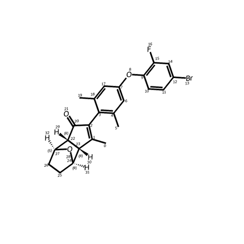 CC1=C(c2c(C)cc(Oc3ccc(Br)cc3F)cc2C)C(=O)[C@@H]2[C@H]1[C@H]1CC[C@@H]2O1